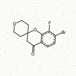 O=C1CC2(CCOCC2)Oc2c1ccc(Br)c2F